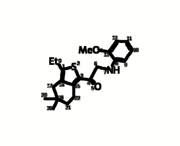 CCc1sc(C(=O)CNc2ccccc2OC)c2c1CC(C)(C)CC2